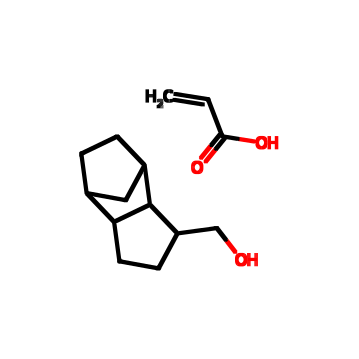 C=CC(=O)O.OCC1CCC2C3CCC(C3)C12